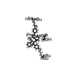 CCCCN(CCCC)CCCOc1ccc(-c2c(C(C)C)c([S+]([O-])c3c(C(C)C)c(-c4ccc(OCCCN(CCCC)CCCC)cc4)n4ccccc34)c3ccccn23)cc1.O=C(O)C(=O)O